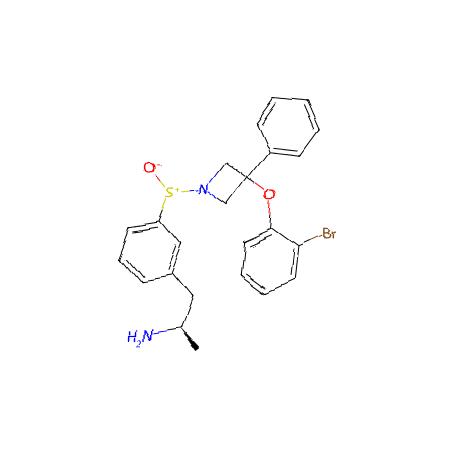 C[C@@H](N)Cc1cccc([S+]([O-])N2CC(Oc3ccccc3Br)(c3ccccc3)C2)c1